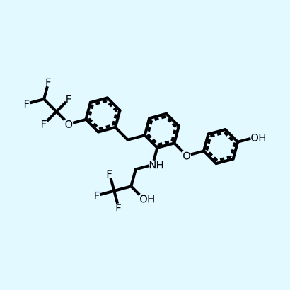 Oc1ccc(Oc2cccc(Cc3cccc(OC(F)(F)C(F)F)c3)c2NCC(O)C(F)(F)F)cc1